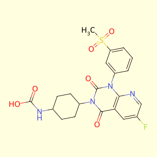 CS(=O)(=O)c1cccc(-n2c(=O)n(C3CCC(NC(=O)O)CC3)c(=O)c3cc(F)cnc32)c1